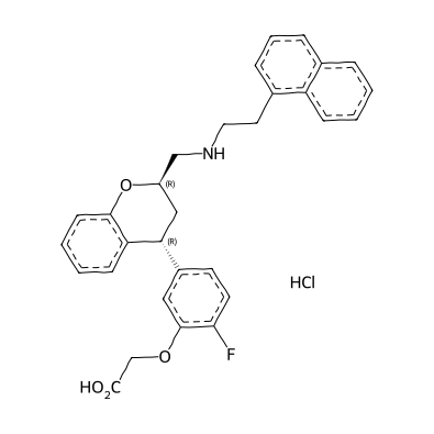 Cl.O=C(O)COc1cc([C@H]2C[C@H](CNCCc3cccc4ccccc34)Oc3ccccc32)ccc1F